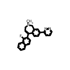 CN1CC=C(c2ccc3ccccc3c2F)c2ccc(-c3cccnn3)cc2C1